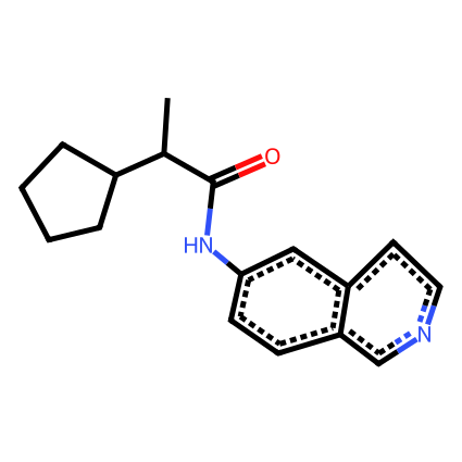 CC(C(=O)Nc1ccc2cnccc2c1)C1CCCC1